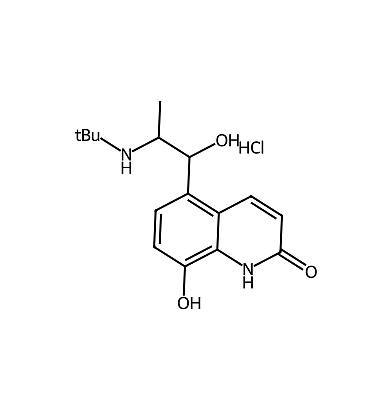 CC(NC(C)(C)C)C(O)c1ccc(O)c2[nH]c(=O)ccc12.Cl